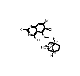 O=C(O)N1[C@@H]2CC[C@H]1[C@@H](COc1c(Cl)c(Br)cc3nc(Cl)nc(O)c13)NC2